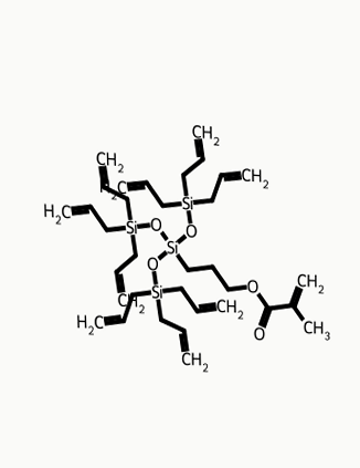 C=CC[Si](CC=C)(CC=C)O[Si](CCCOC(=O)C(=C)C)(O[Si](CC=C)(CC=C)CC=C)O[Si](CC=C)(CC=C)CC=C